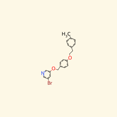 Cc1ccc(CCOc2ccc(COc3cncc(Br)c3)cc2)cc1